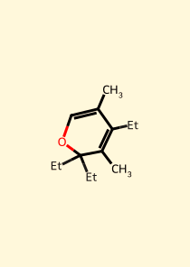 CCC1=C(C)C(CC)(CC)OC=C1C